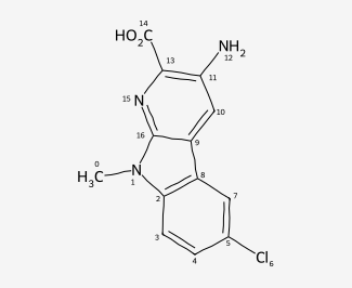 Cn1c2ccc(Cl)cc2c2cc(N)c(C(=O)O)nc21